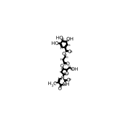 Cc1cn(C2CC(OC(=O)CCOC(=O)c3cc(O)c(O)c(O)c3)C(CO)O2)c(=O)[nH]c1=O